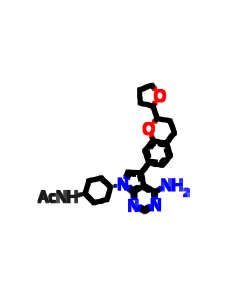 CC(=O)N[C@H]1CC[C@H](n2cc(-c3ccc4c(c3)OC(C3CCCO3)CC4)c3c(N)ncnc32)CC1